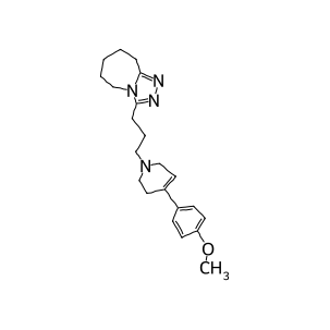 COc1ccc(C2=CCN(CCCc3nnc4n3CCCCC4)CC2)cc1